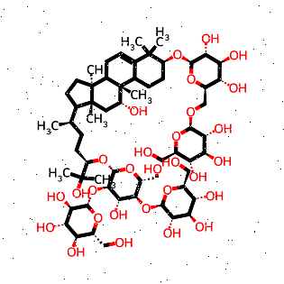 C[C@H](CC[C@@H](O[C@@H]1O[C@H](CO)[C@@H](O[C@H]2O[C@@H](CO)[C@H](O)[C@@H](O)[C@@H]2O)[C@H](O)[C@H]1O[C@@H]1O[C@H](CO)[C@@H](O)[C@H](O)[C@H]1O)C(C)(C)O)C1CC[C@@]2(C)C3CC=C4C(CC[C@H](O[C@@H]5O[C@H](CO[C@@H]6O[C@H](CO)[C@@H](O)[C@H](O)[C@H]6O)[C@@H](O)[C@H](O)[C@H]5O)C4(C)C)[C@]3(C)[C@H](O)C[C@]12C